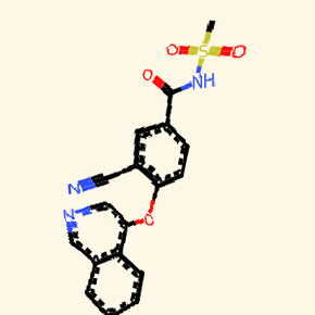 CS(=O)(=O)NC(=O)c1ccc(Oc2cncc3ccccc23)c(C#N)c1